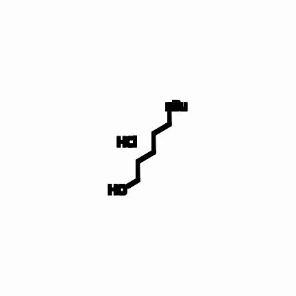 CCCCCCCCCO.Cl